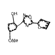 COc1ccc(O)c(-c2noc(-c3ccco3)n2)c1